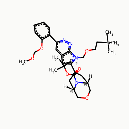 COCOc1ccccc1-c1cc2cc(C3C[C@H]4COC[C@@H](C3)N4C(=O)OC(C)(C)C)n(COCC[Si](C)(C)C)c2nn1